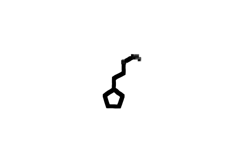 NOCCC1CCCC1